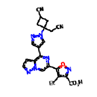 CCc1c(C(=O)O)noc1-c1cn2nccc2c(-c2cnn(C3(CC#N)CC(C#N)C3)c2)n1